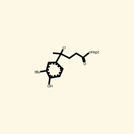 CCCCCCCC(=O)CCC(C)(Cl)c1ccc(O)c(C(C)(C)C)c1